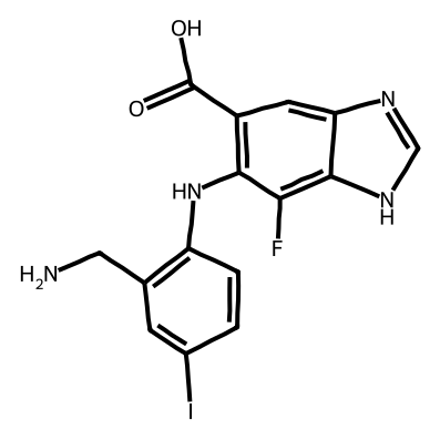 NCc1cc(I)ccc1Nc1c(C(=O)O)cc2nc[nH]c2c1F